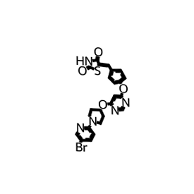 O=C1NC(=O)/C(=C/c2ccc(Oc3cc(OC4CCN(c5ccc(Br)cn5)CC4)ncn3)cc2)S1